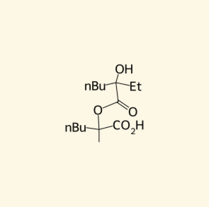 CCCCC(O)(CC)C(=O)OC(C)(CCCC)C(=O)O